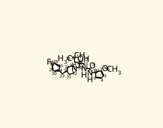 COc1cccc(NC(=O)NC[C@](O)(CC(C)C)CN2CCC(Cc3ccc(F)cc3)CC2)c1